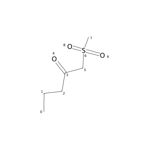 CCCC(=O)CS(C)(=O)=O